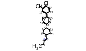 CC/C=C/[C@H]1CC[C@H](c2cnc(-c3ccc(Cl)c(Cl)c3)nc2)CC1